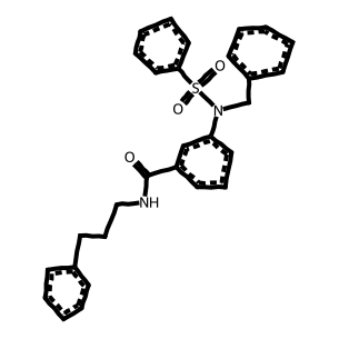 O=C(NCCCc1ccccc1)c1cccc(N(Cc2ccccc2)S(=O)(=O)c2ccccc2)c1